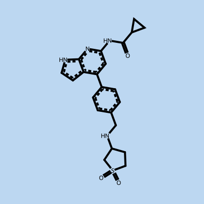 O=C(Nc1cc(-c2ccc(CNC3CCS(=O)(=O)C3)cc2)c2cc[nH]c2n1)C1CC1